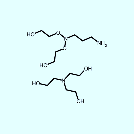 NCCCN(OCCO)OCCO.OCCN(CCO)CCO